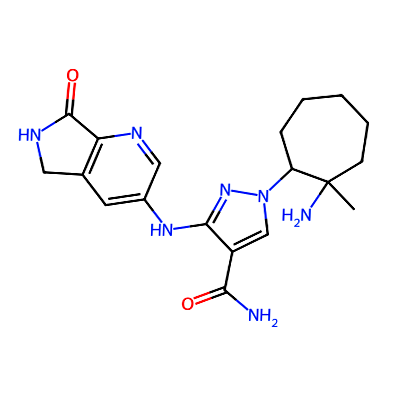 CC1(N)CCCCCC1n1cc(C(N)=O)c(Nc2cnc3c(c2)CNC3=O)n1